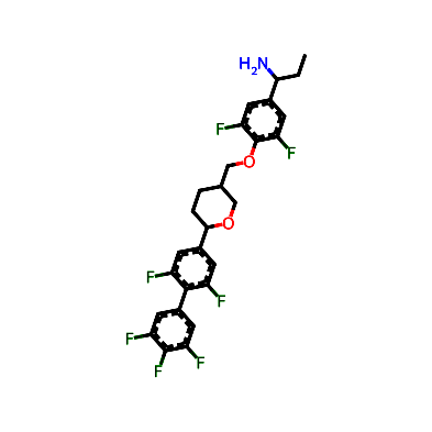 CCC(N)c1cc(F)c(OCC2CCC(c3cc(F)c(-c4cc(F)c(F)c(F)c4)c(F)c3)OC2)c(F)c1